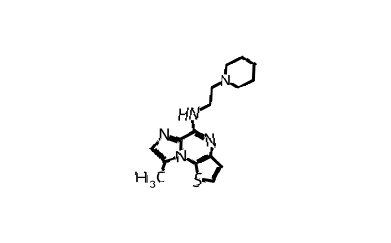 Cc1cnc2c(NCCN3CCCCC3)nc3ccsc3n12